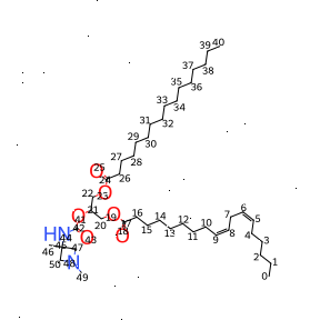 CCCCC/C=C\C/C=C\CCCCCCCC(=O)OCC(COC(=O)CCCCCCCCCCCCCCC)OC(=O)NC1(C)CN(C)C1